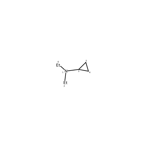 CCN(CC)C1CC1